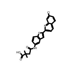 CC(C)(CC(=O)Nc1ccc2oc(-c3ccc4ccc(Cl)cc4n3)cc2c1)C(=O)O